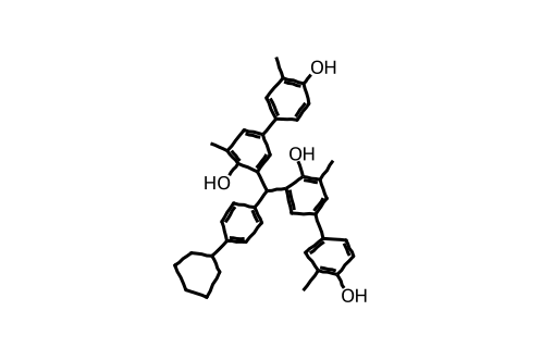 Cc1cc(-c2cc(C)c(O)c(C(c3ccc(C4CCCCC4)cc3)c3cc(-c4ccc(O)c(C)c4)cc(C)c3O)c2)ccc1O